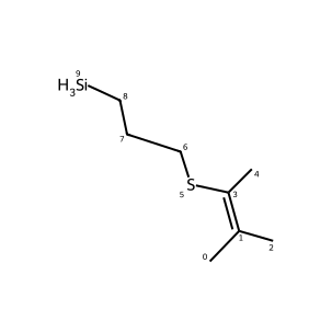 CC(C)=C(C)SCCC[SiH3]